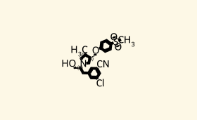 C[C@@H]1CN([C@H](CO)Cc2cc(Cl)cc(C#N)c2)C[C@H]1COc1ccc(S(C)(=O)=O)cc1